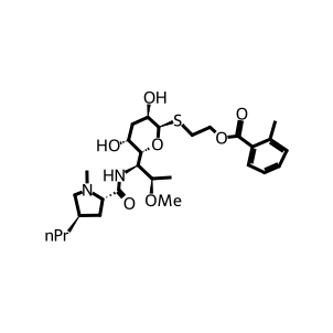 CCC[C@@H]1C[C@@H](C(=O)N[C@@H]([C@H]2O[C@H](SCCOC(=O)c3ccccc3C)[C@H](O)C[C@H]2O)[C@@H](C)OC)N(C)C1